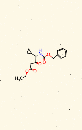 CCOC(=O)CC(=O)[C@@H](NC(=O)OCc1ccccc1)C1CC1